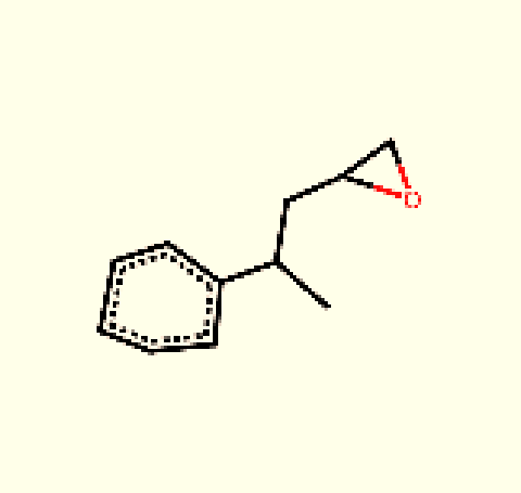 CC(CC1CO1)c1ccccc1